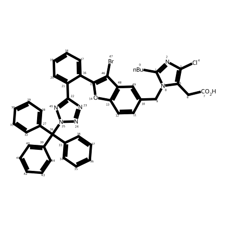 CCCCc1nc(Cl)c(CC(=O)O)n1Cc1ccc2oc(-c3ccccc3-c3nnn(C(c4ccccc4)(c4ccccc4)c4ccccc4)n3)c(Br)c2c1